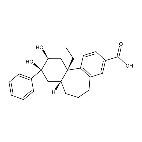 CC[C@]12C[C@H](O)[C@@](O)(c3ccccc3)C[C@H]1CCCc1cc(C(=O)O)ccc12